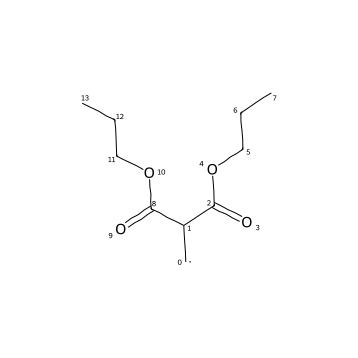 [CH2]C(C(=O)OCCC)C(=O)OCCC